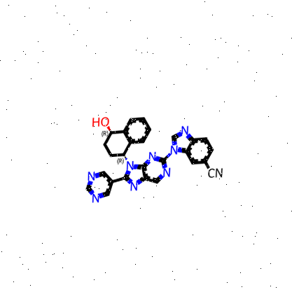 N#Cc1ccc2ncn(-c3ncc4nc(-c5cncnc5)n([C@@H]5CC[C@@H](O)c6ccccc65)c4n3)c2c1